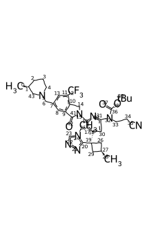 C[C@H]1CCCN(Cc2cc3c(c(C(F)(F)F)c2)CN(c2cc([C@]4(c5nncn5C)C[C@@H](C)C4)cc(N(CCC#N)C(=O)OC(C)(C)C)n2)C3=O)C1